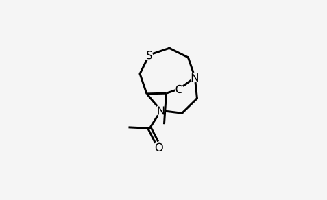 CC(=O)N1CCN2CCSCC1C(C)C2